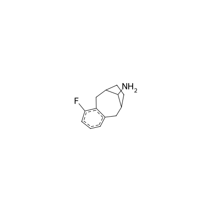 NC1C2CCC1Cc1c(F)cccc1C2